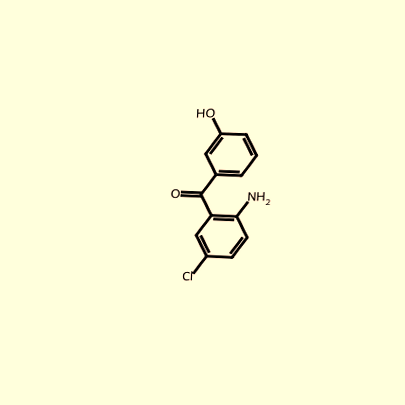 Nc1ccc(Cl)cc1C(=O)c1cccc(O)c1